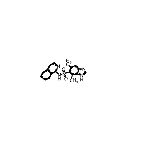 Cc1cc2nc[nH]c2c(C)c1S(=O)(=O)Nc1nccc2ccccc12